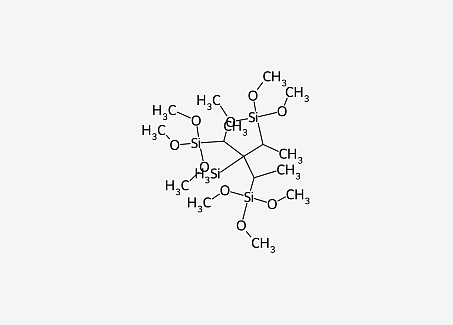 CO[Si](OC)(OC)C(C)C([SiH3])(C(C)[Si](OC)(OC)OC)C(C)[Si](OC)(OC)OC